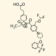 CCS(=O)(=O)C1(NC(=O)c2ccc(N3CC[C@H](Oc4ccccc4C(F)(F)F)C3)cc2COC(F)F)C=CC(CCC(=O)O)=CC1